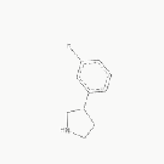 Fc1cccc(C2[CH]CNC2)c1